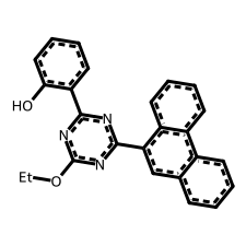 CCOc1nc(-c2ccccc2O)nc(-c2cc3ccccc3c3ccccc23)n1